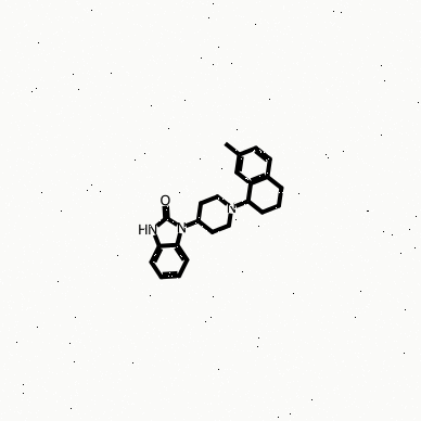 Cc1ccc2c(c1)C(N1CCC(n3c(=O)[nH]c4ccccc43)CC1)CCC2